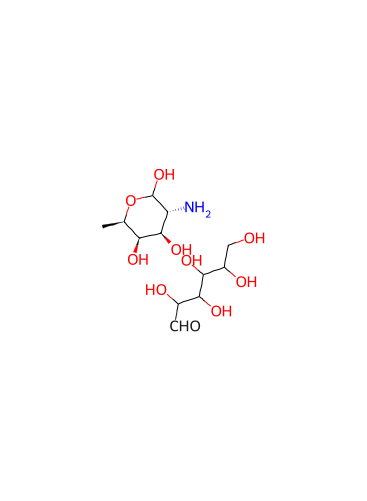 C[C@H]1OC(O)[C@H](N)[C@@H](O)[C@H]1O.O=CC(O)C(O)C(O)C(O)CO